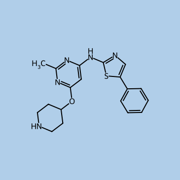 Cc1nc(Nc2ncc(-c3ccccc3)s2)cc(OC2CCNCC2)n1